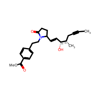 CC#CC[C@H](C)[C@H](O)C=CC1CCC(=O)N1CCc1ccc(C(=O)OC)cc1